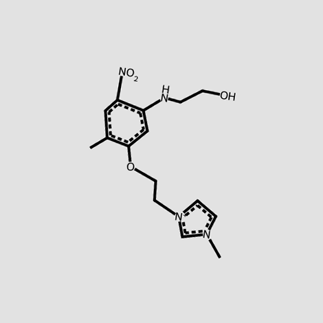 Cc1cc([N+](=O)[O-])c(NCCO)cc1OCC[n+]1ccn(C)c1